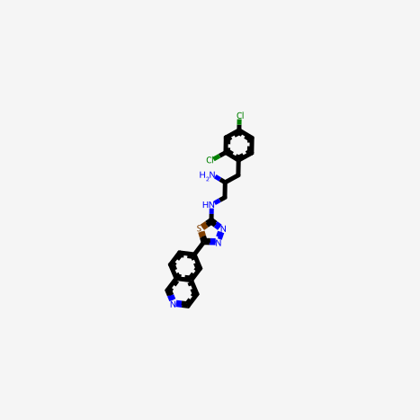 NC(CNc1nnc(-c2ccc3cnccc3c2)s1)Cc1ccc(Cl)cc1Cl